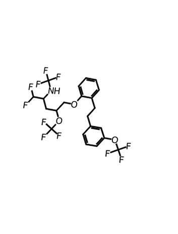 FC(F)C(CC(COc1ccccc1CCc1cccc(OC(F)(F)F)c1)OC(F)(F)F)NC(F)(F)F